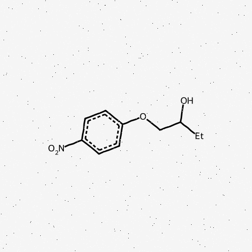 CCC(O)COc1ccc([N+](=O)[O-])cc1